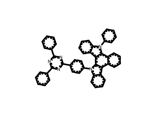 c1ccc(-c2nc(-c3ccccc3)nc(-c3ccc(-n4c5ccccc5c5c6ccccc6c6c(c7ccccc7n6-c6ccccc6)c54)cc3)n2)cc1